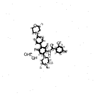 C[C@@H]1CN(c2ncc(-c3c(F)cc(N4C[C@@H](C)N(C)[C@@H](C)C4)c(NC(=O)c4ccc(F)cc4C(F)(F)F)c3F)cn2)CCO1.O=CO